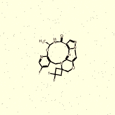 C[C@H]1NC(=O)c2cnn3cc4c(nc23)N(Cc2cc(F)cnc2O1)C1(CO4)CC(F)(F)C1